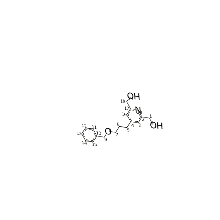 OCc1cc(CCCOCc2ccccc2)cc(CO)n1